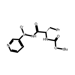 CC(C)C[C@H](NC(=O)OC(C)(C)C)C(=O)N[S+]([O-])c1cccnc1